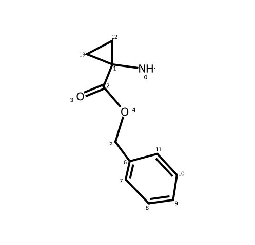 [NH]C1(C(=O)OCc2ccccc2)CC1